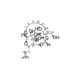 CCCSCC1O[C@@H]2OCCCCCC3C(CO)O[C@H](OC1[C@H](O)C2O)C(O)[C@H]3O